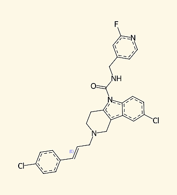 O=C(NCc1ccnc(F)c1)n1c2c(c3cc(Cl)ccc31)CN(C/C=C/c1ccc(Cl)cc1)CC2